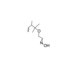 C=CC(C)C(C)(C)OCC=NO